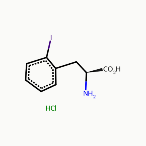 Cl.N[C@@H](Cc1ccccc1I)C(=O)O